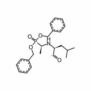 CC(C)C[C@@H]([C]=O)N[C@@H](C)P(=O)(OCc1ccccc1)OCc1ccccc1